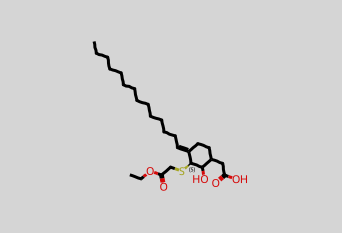 CCCCCCCCCCCCCC=C1CCC(CC(=O)O)C(O)[C@H]1SCC(=O)OCC